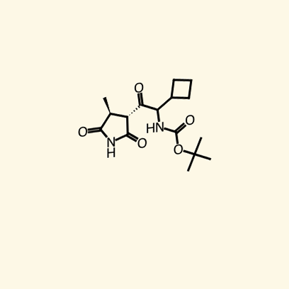 C[C@@H]1C(=O)NC(=O)[C@H]1C(=O)C(NC(=O)OC(C)(C)C)C1CCC1